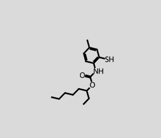 CCCCCC(CC)OC(=O)Nc1ccc(C)cc1S